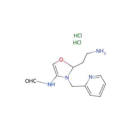 Cl.Cl.NCCC1OC=C(NC=O)N1Cc1ccccn1